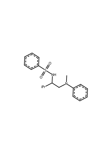 CC(C)C(CN(C)c1ccccc1)NS(=O)(=O)c1ccccc1